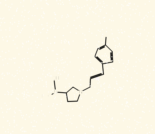 CCc1ccc(/C=C/CN2CCC(N(C)C)C2)cc1